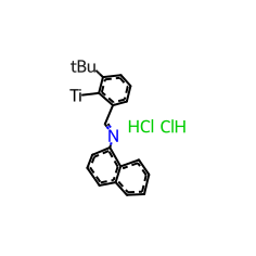 CC(C)(C)c1cccc(C=Nc2cccc3ccccc23)[c]1[Ti].Cl.Cl